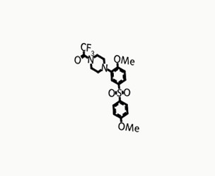 COc1ccc(S(=O)(=O)c2ccc(OC)c(N3CCN(C(=O)C(F)(F)F)CC3)c2)cc1